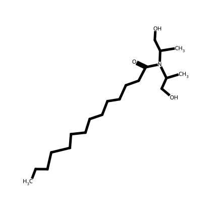 CCCCCCCCCCCCCC(=O)N(C(C)CO)C(C)CO